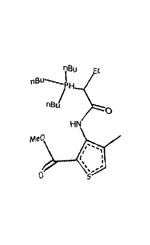 CCCC[PH](CCCC)(CCCC)C(CC)C(=O)Nc1c(C)csc1C(=O)OC